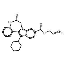 C=CCOC(=O)c1ccc2c(C3CCCCC3)c3n(c2c1)CC(=O)Nc1ccccc1-3